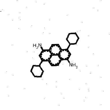 Nc1cc(C2CCCCC2)c2ccc3c(N)cc(C4CCCCC4)c4ccc1c2c34